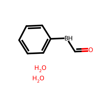 O.O.O=CBc1ccccc1